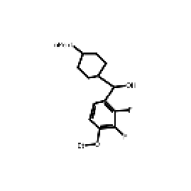 CCCCCC1CCC(C(O)c2ccc(OCC)c(F)c2F)CC1